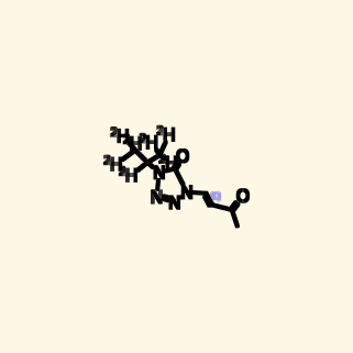 [2H]C([2H])([2H])C([2H])(n1nnn(/C=C/C(C)=O)c1=O)C([2H])([2H])[2H]